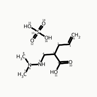 C=CCC(CNN(C)C)C(=O)O.O=S(=O)(O)O